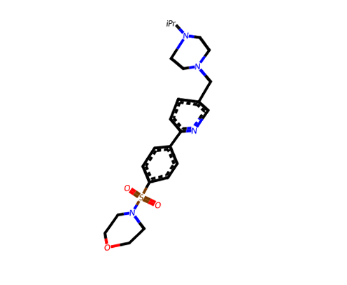 CC(C)N1CCN(Cc2ccc(-c3ccc(S(=O)(=O)N4CCOCC4)cc3)nc2)CC1